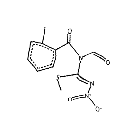 CS/C(=N\[N+](=O)[O-])N(C=O)C(=O)c1ccccc1C